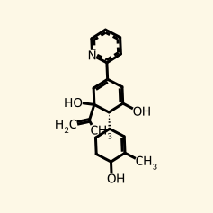 C=C(C)C1(O)C=C(c2ccccn2)C=C(O)[C@@H]1C1C=C(C)C(O)CC1